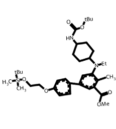 CCN(c1cc(-c2ccc(OCCO[Si](C)(C)C(C)(C)C)cc2)cc(C(=O)OC)c1C)C1CCC(NC(=O)OC(C)(C)C)CC1